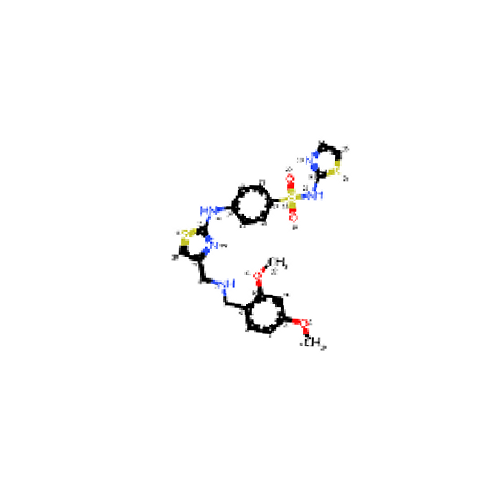 COc1ccc(CNCc2csc(Nc3ccc(S(=O)(=O)Nc4nccs4)cc3)n2)c(OC)c1